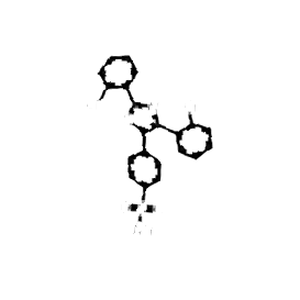 NS(=O)(=O)c1ccc(-c2sc(-c3ccccc3Cl)nc2-c2ccccc2Cl)cc1